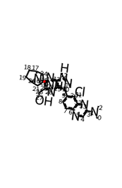 CN(C)c1cnc2ccc(-c3n[nH]c4nc(N5C6CCC5CC(N)C6)c(CO)nc34)c(Cl)c2n1